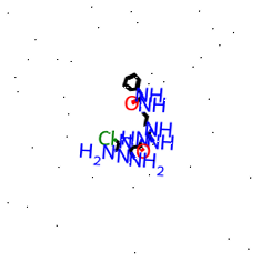 N=C(NCCCNC(=O)Nc1ccccc1)NC(=O)c1nc(Cl)c(N)nc1N